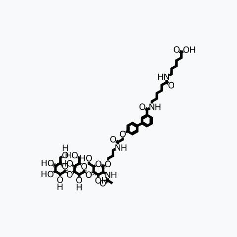 CC(=O)NC1C(O)[C@H](O[C@@H]2OC(CO)[C@H](O)C(O[C@H]3OC(CO)[C@H](O)C(O)C3O)C2O)C(CO)O[C@H]1OCCCNC(=O)COc1ccc(-c2cccc(C(=O)NCCCCCC(=O)NCCCCCC(=O)O)c2)cc1